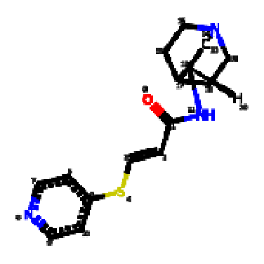 O=C(C=CSc1ccncc1)N[C@H]1CN2CCC1CC2